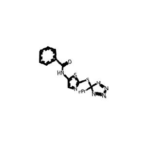 CCCC1(Sc2ncc(NC(=O)c3ccccc3)s2)N=NN=N1